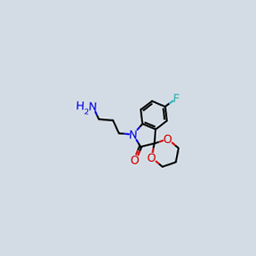 NCCCN1C(=O)C2(OCCCO2)c2cc(F)ccc21